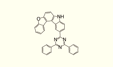 c1ccc(-c2nc(-c3ccccc3)nc(-c3ccc4[nH]c5ccc6oc7ccccc7c6c5c4c3)n2)cc1